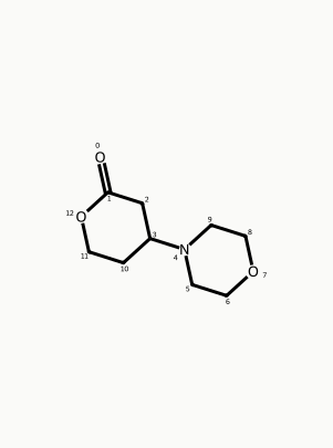 O=C1CC(N2CCOCC2)CCO1